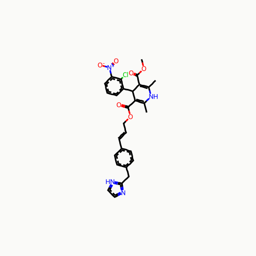 COC(=O)C1=C(C)NC(C)=C(C(=O)OCC=Cc2ccc(Cc3ncc[nH]3)cc2)C1c1cccc([N+](=O)[O-])c1Cl